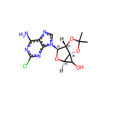 CC1(C)O[C@H]2[C@H](n3cnc4c(N)nc(Cl)nc43)O[C@@H]3C(O)[C@@]32O1